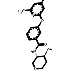 Cc1cc(CN)cc(Oc2cccc(C(=O)N[C@H]3COCC[C@@H]3O)c2)n1